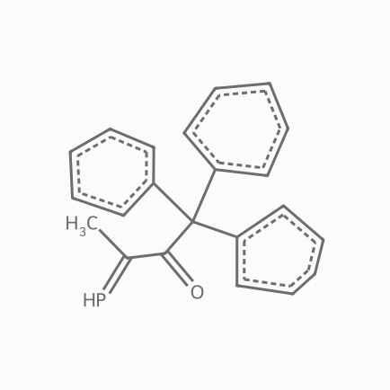 CC(=P)C(=O)C(c1ccccc1)(c1ccccc1)c1ccccc1